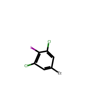 [CH2]Cc1cc(Cl)c(I)c(Cl)c1